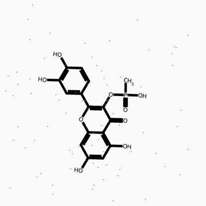 CP(=O)(O)Oc1c(-c2ccc(O)c(O)c2)oc2cc(O)cc(O)c2c1=O